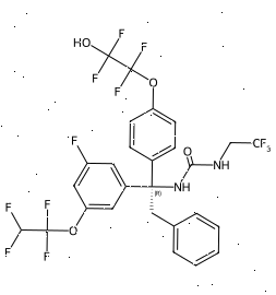 O=C(NCC(F)(F)F)N[C@](Cc1ccccc1)(c1ccc(OC(F)(F)C(O)(F)F)cc1)c1cc(F)cc(OC(F)(F)C(F)F)c1